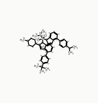 CC1=Cc2c(-c3ccc(C(C)C)cc3)cccc2[CH]1[Zr]([Cl])([Cl])([CH]1C(C2CCC(C)CC2)=Cc2c(-c3ccc(C(C)(C)C)cc3)cccc21)[SiH](C)C